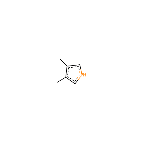 Cc1c[pH]cc1C